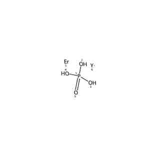 O=P(O)(O)O.[Er].[Y]